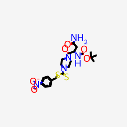 CC(C)(C)OC(=O)NC(CC(N)=O)C(=O)N1CCN(C(=S)SCc2ccc([N+](=O)[O-])cc2)CC1